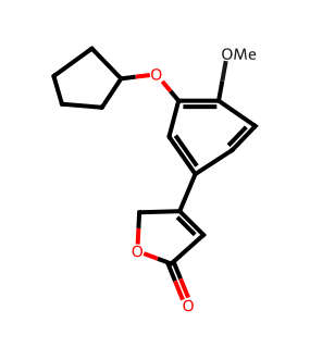 COc1ccc(C2=CC(=O)OC2)cc1OC1CCCC1